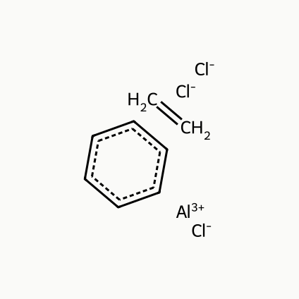 C=C.[Al+3].[Cl-].[Cl-].[Cl-].c1ccccc1